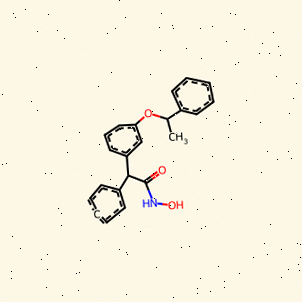 CC(Oc1cccc(C(C(=O)NO)c2ccccc2)c1)c1ccccc1